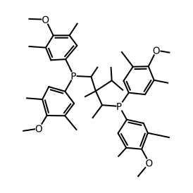 COc1c(C)cc(P(c2cc(C)c(OC)c(C)c2)C(C)C(C)(C(C)C)C(C)P(c2cc(C)c(OC)c(C)c2)c2cc(C)c(OC)c(C)c2)cc1C